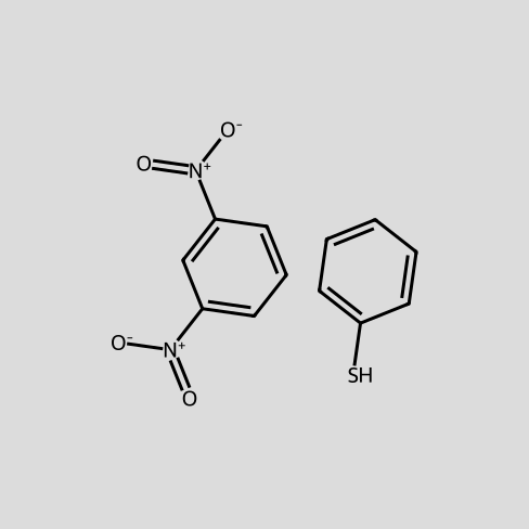 O=[N+]([O-])c1cccc([N+](=O)[O-])c1.Sc1ccccc1